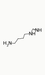 N=CNCCCCN